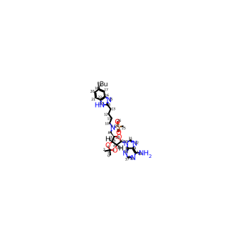 CC1(C)O[C@@H]2[C@H](O1)[C@@H](CN(CCCCc1nc3cc(C(C)(C)C)ccc3[nH]1)S(C)(=O)=O)O[C@H]2n1cnc2c(N)ncnc21